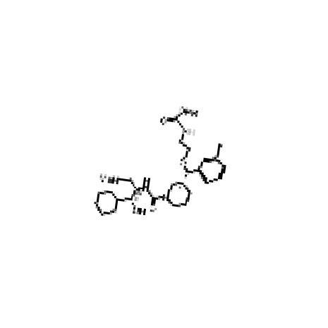 CNC[C@@H](NC(=O)N1CCC[C@@H](C(OCCNC(=O)OC)c2cccc(F)c2)C1)[C@H](O)C1CCCCC1